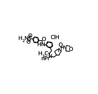 CCCN(CC1CCN(C(=O)N2CCOCC2)CC1)C(C)Cc1cccc(NC(=O)c2ccc(S(N)(=O)=O)cc2)c1.Cl